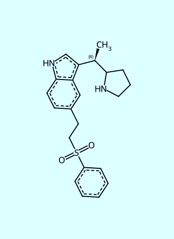 C[C@H](c1c[nH]c2ccc(CCS(=O)(=O)c3ccccc3)cc12)C1CCCN1